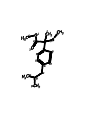 COC(=O)C(C)(SC)c1ccc(CC(C)C)cc1